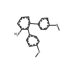 CSc1ccc(-c2cccc(P)c2-c2ccc(SC)cc2)cc1